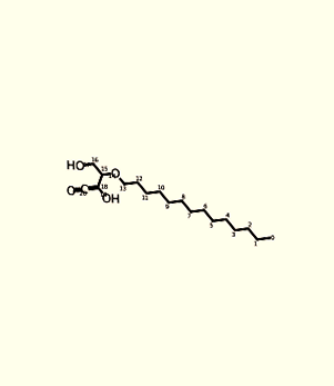 CCCCCCCCCCCCCCOC(CO)C(O)=C=O